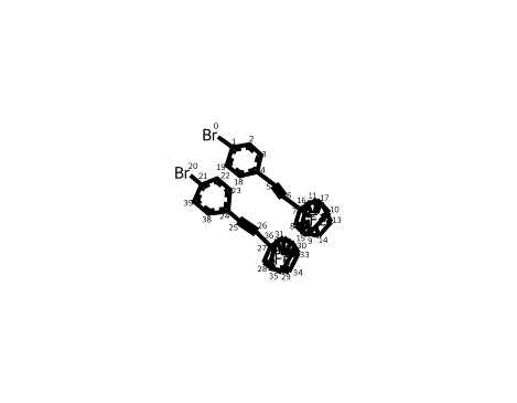 Brc1ccc(C#C[C]23[CH]4[CH]5[CH]6[CH]2[Fe]56432789[CH]3[CH]2[CH]7[CH]8[CH]39)cc1.Brc1ccc(C#C[C]23[CH]4[CH]5[CH]6[CH]2[Fe]56432789[CH]3[CH]2[CH]7[CH]8[CH]39)cc1